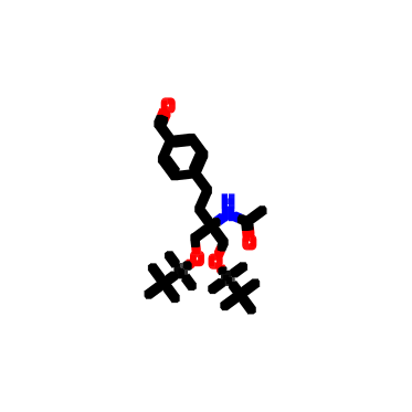 CC(=O)NC(CCc1ccc(C=O)cc1)(CO[Si](C)(C)C(C)(C)C)CO[Si](C)(C)C(C)(C)C